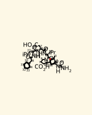 Cc1cc([C@]2(C(=O)O)CCCN2C(=O)[C@@H](NC(=O)[C@H](CC(=O)O)NC(=O)[C@H](CC(C)C)NC(=O)Cc2ccccc2)C(C)C)cc(NC(N)=O)n1